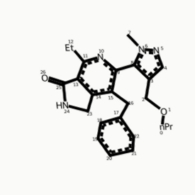 CCCOCc1cnn(C)c1-c1nc(CC)c2c(c1Cc1ccccc1)CNC2=O